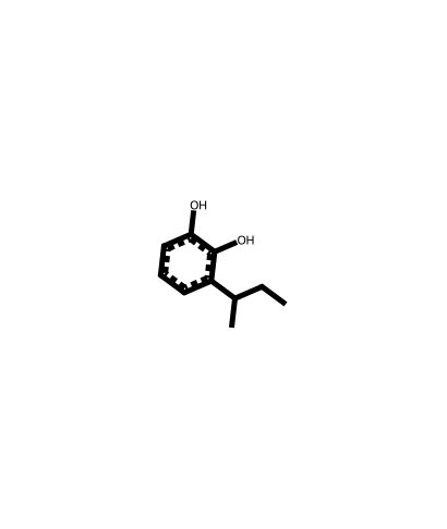 CCC(C)c1cccc(O)c1O